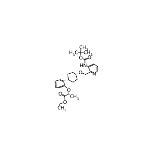 CCOC(=O)[C@@H](C)Oc1ccccc1[C@H]1CC[C@@H](OCc2ncccc2NC(=O)OC(C)(C)C)CC1